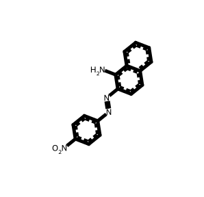 Nc1c(N=Nc2ccc([N+](=O)[O-])cc2)ccc2ccccc12